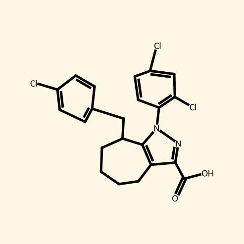 O=C(O)c1nn(-c2ccc(Cl)cc2Cl)c2c1CCCCC2Cc1ccc(Cl)cc1